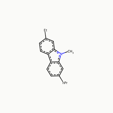 CCCc1ccc2c3ccc(CC)cc3n(C)c2c1